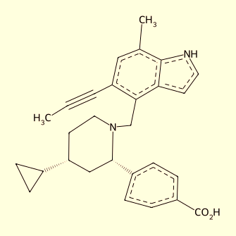 CC#Cc1cc(C)c2[nH]ccc2c1CN1CC[C@@H](C2CC2)C[C@H]1c1ccc(C(=O)O)cc1